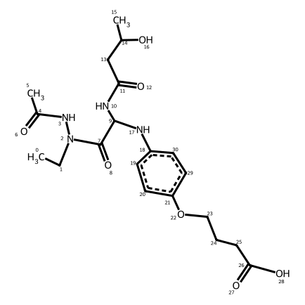 CCN(NC(C)=O)C(=O)C(NC(=O)CC(C)O)Nc1ccc(OCCCC(=O)O)cc1